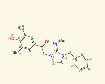 CC(=O)N=C1N(CC(=O)c2cc(C(C)(C)C)c(O)c(C(C)(C)C)c2)CCN1Cc1ccccc1